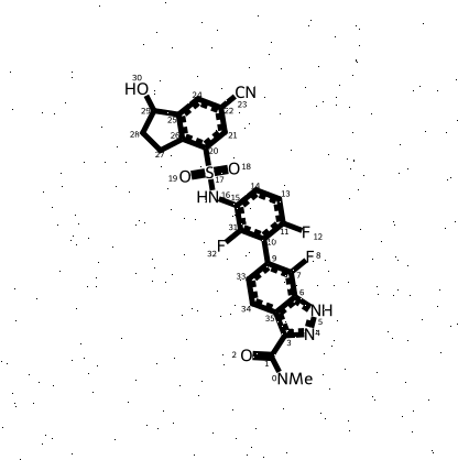 CNC(=O)c1n[nH]c2c(F)c(-c3c(F)ccc(NS(=O)(=O)c4cc(C#N)cc5c4CCC5O)c3F)ccc12